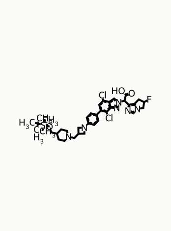 CC(C)(C)[Si](C)(C)OCC1CCN(CC2CN(c3ccc(-c4cc(Cl)c5cn(C(C(=O)O)c6ncn7c6CC(F)C7)nc5c4Cl)cc3)C2)CC1